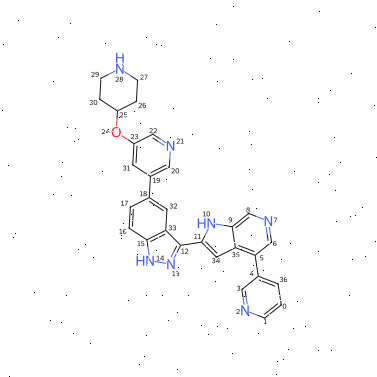 c1cncc(-c2cncc3[nH]c(-c4n[nH]c5ccc(-c6cncc(OC7CCNCC7)c6)cc45)cc23)c1